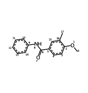 COc1ccc(C(=O)Nc2ccccc2)cc1C